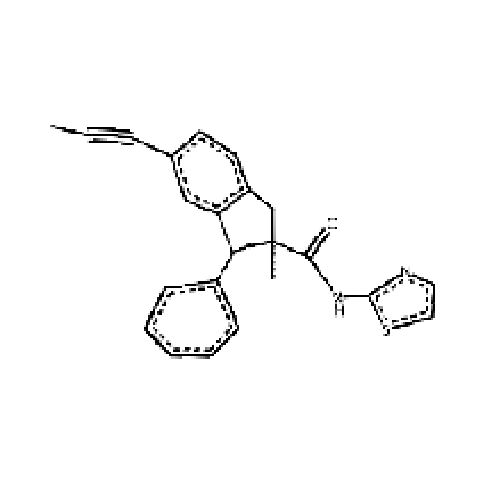 CC#Cc1ccc2c(c1)C(c1ccccc1)C(C)(C(=O)Nc1nccs1)C2